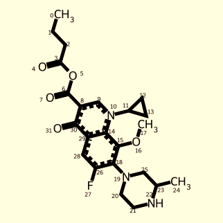 CCCC(=O)OC(=O)c1cn(C2CC2)c2c(OC)c(N3CCNC(C)C3)c(F)cc2c1=O